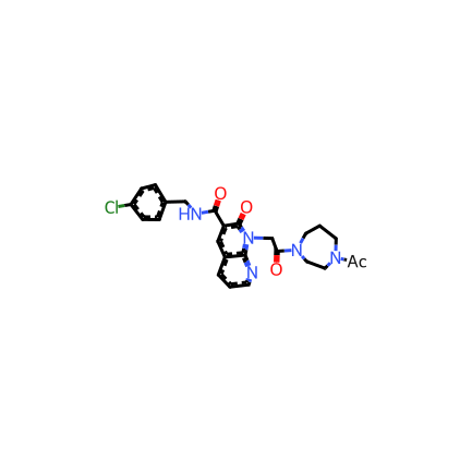 CC(=O)N1CCCN(C(=O)Cn2c(=O)c(C(=O)NCc3ccc(Cl)cc3)cc3cccnc32)CC1